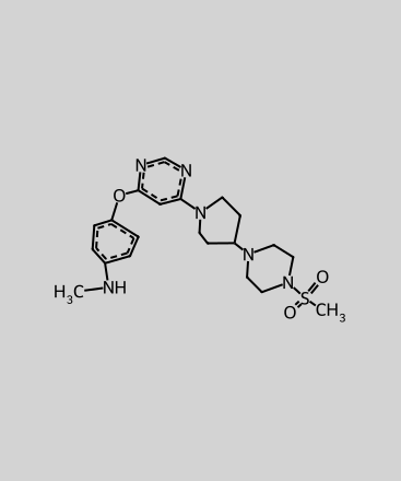 CNc1ccc(Oc2cc(N3CCC(N4CCN(S(C)(=O)=O)CC4)CC3)ncn2)cc1